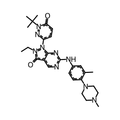 CCn1c(=O)c2cnc(Nc3ccc(N4CCN(C)CC4)c(C)c3)nc2n1-c1ccc(=O)n(C(C)(C)C)n1